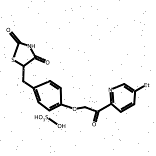 CCc1ccc(C(=O)COc2ccc(CC3SC(=O)NC3=O)cc2)nc1.O=S(=O)(O)O